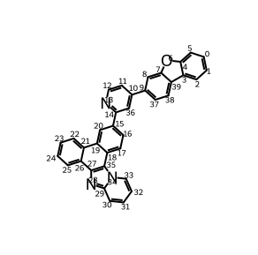 c1ccc2c(c1)oc1cc(-c3ccnc(-c4ccc5c(c4)c4ccccc4c4nc6ccccn6c54)c3)ccc12